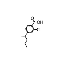 CCCC(C)c1ccc(C(=O)O)c(Cl)c1